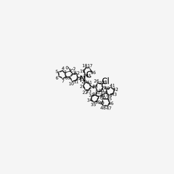 CC1(C)c2ccccc2-c2ccc(N(c3ccccc3)c3cccc(-c4cc(Cl)cc5c4-c4ccccc4C54c5ccccc5-c5ccccc54)c3)cc21